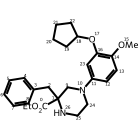 CCOC(=O)C1(Cc2ccccc2)CN(c2ccc(OC)c(OC3CCCC3)c2)CCN1